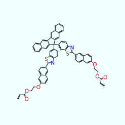 C=CC(=O)OCCOc1ccc2cc(-c3nc4ccc(C5(c6ccc7nc(-c8ccc9cc(OCCOC(=O)C=C)ccc9c8)sc7c6)c6cc7ccccc7cc6-c6cc7ccccc7cc65)cc4s3)ccc2c1